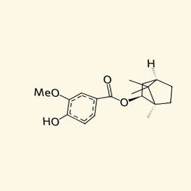 COc1cc(C(=O)O[C@H]2C[C@H]3CC[C@]2(C)C3(C)C)ccc1O